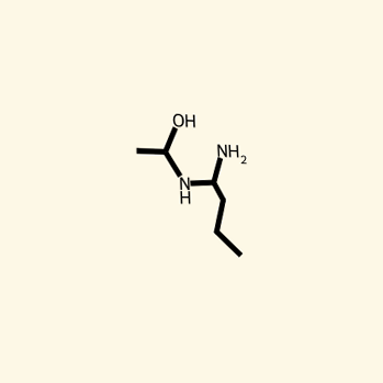 CCCC(N)NC(C)O